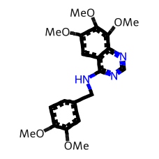 COc1ccc(CNc2ncnc3c(OC)c(OC)c(OC)cc23)cc1OC